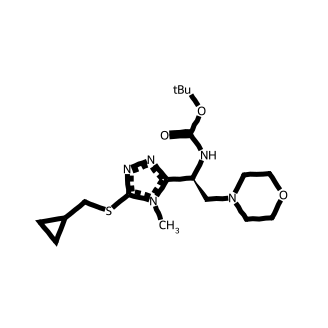 Cn1c(SCC2CC2)nnc1[C@H](CN1CCOCC1)NC(=O)OC(C)(C)C